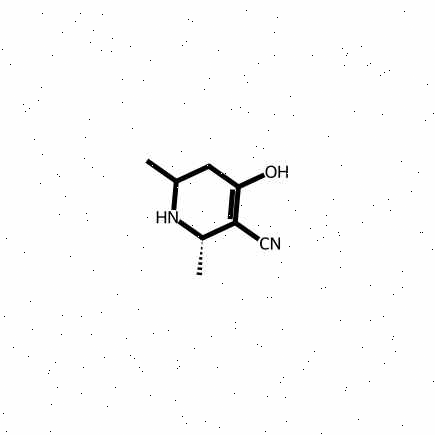 CC1CC(O)=C(C#N)[C@H](C)N1